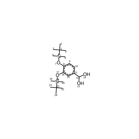 CC(C)(C)[Si](C)(C)Oc1ccc(C(O)O)cc1O[Si](C)(C)C(C)(C)C